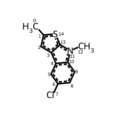 Cc1cc2c3cc(Cl)ccc3n(C)c2s1